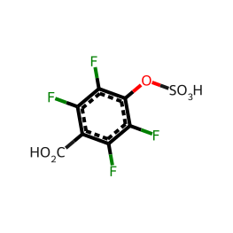 O=C(O)c1c(F)c(F)c(OS(=O)(=O)O)c(F)c1F